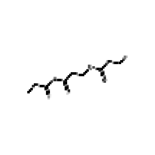 CCCC(=O)OCCC(=O)OC(=O)CC